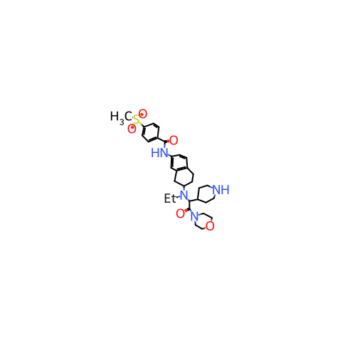 CCN(C1CCc2ccc(NC(=O)c3ccc(S(C)(=O)=O)cc3)cc2C1)C(C(=O)N1CCOCC1)C1CCNCC1